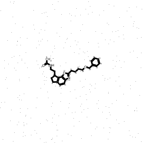 CC(=O)NCCC1CCc2ccc3nc(CCCCOCc4ccccc4)oc3c21